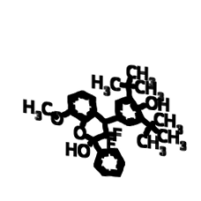 COc1cccc2c1OC(O)(c1ccccc1)C(F)(F)C2c1cc(C(C)(C)C)c(O)c(C(C)(C)C)c1